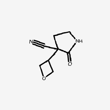 N#CC1(C2COC2)CCNC1=O